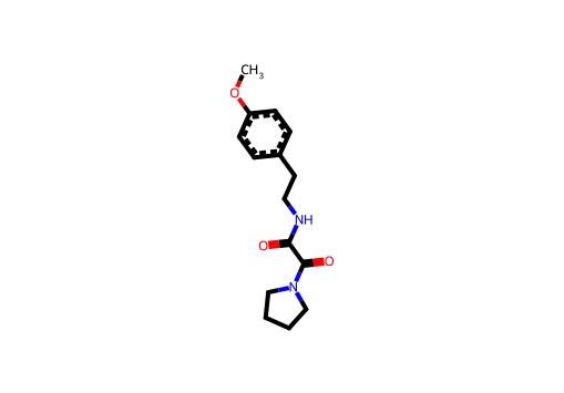 COc1ccc(CCNC(=O)C(=O)N2CCCC2)cc1